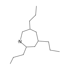 CCCC1C[N]C(CCC)CC(CCC)C1